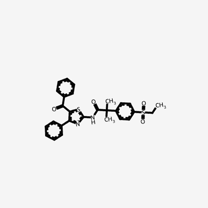 CCS(=O)(=O)c1ccc(C(C)(C)C(=O)Nc2nc(-c3ccccc3)c(C(=O)c3ccccc3)s2)cc1